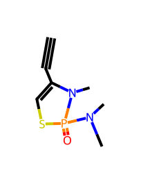 C#CC1=CSP(=O)(N(C)C)N1C